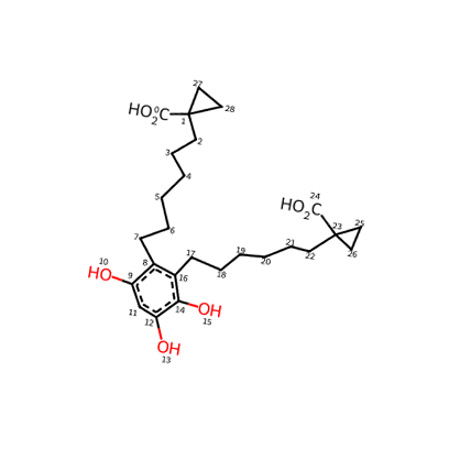 O=C(O)C1(CCCCCCc2c(O)cc(O)c(O)c2CCCCCCC2(C(=O)O)CC2)CC1